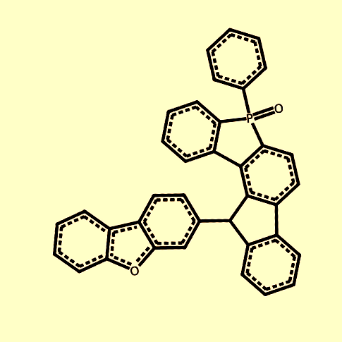 O=P1(c2ccccc2)c2ccccc2-c2c1ccc1c2C(c2ccc3c(c2)oc2ccccc23)c2ccccc2-1